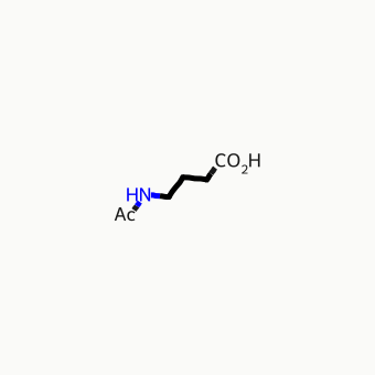 [CH2]C(=O)NCCCC(=O)O